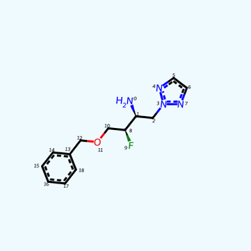 N[C@@H](Cn1nccn1)[C@@H](F)COCc1ccccc1